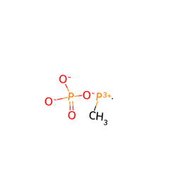 C[P+3].O=P([O-])([O-])[O-]